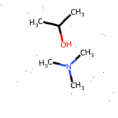 CC(C)O.CN(C)C